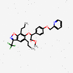 CCCc1cc2c(C(F)(F)F)noc2c(CCC)c1OC(C(=O)OC)c1ccc(OCc2ccccn2)cc1